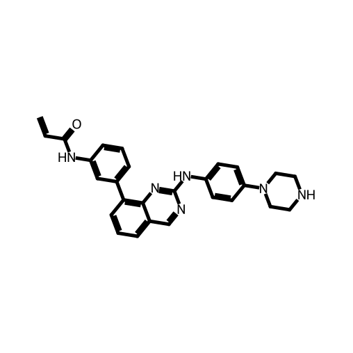 C=CC(=O)Nc1cccc(-c2cccc3cnc(Nc4ccc(N5CCNCC5)cc4)nc23)c1